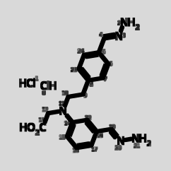 Cl.Cl.NN=Cc1ccc(CCN(CC(=O)O)c2cccc(C=NN)c2)cc1